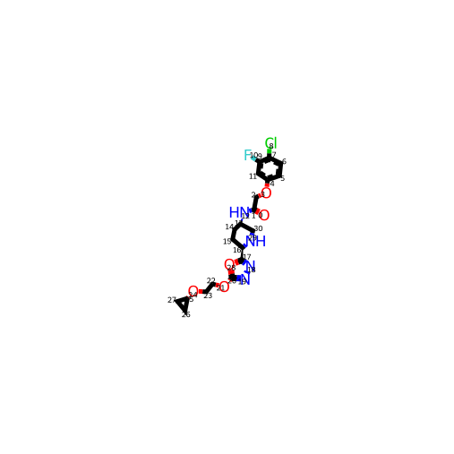 O=C(COc1ccc(Cl)c(F)c1)N[C@H]1CC[C@H](c2nnc(OCCOC3CC3)o2)NC1